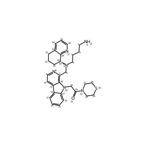 NCCCCN(Cc1nccc2c3ccccc3n(CC(=O)N3CCSCC3)c12)[C@H]1CCCc2cccnc21